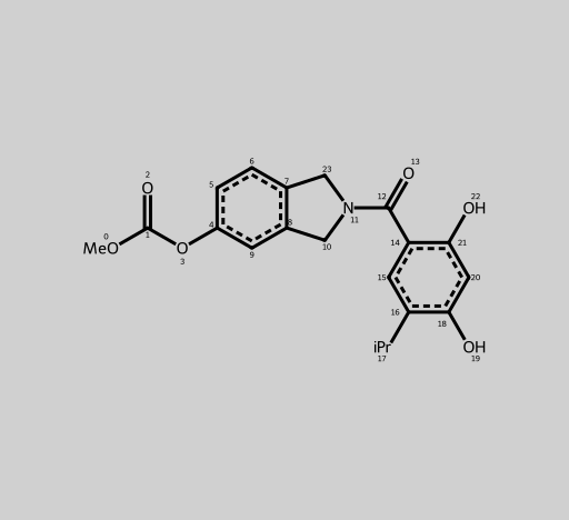 COC(=O)Oc1ccc2c(c1)CN(C(=O)c1cc(C(C)C)c(O)cc1O)C2